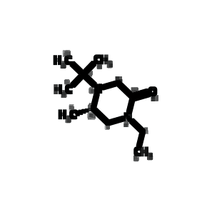 CCN1C[C@H](C)N(C(C)(C)C)CC1=O